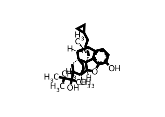 CC(C)(C)C(C)(O)[C@H]1C[C@@]23CC[C@@]1(C)[C@@H]1Oc4c(O)ccc5c4[C@@]12CC[N@@+](C)(CC1CC1)[C@@H]3C5